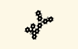 c1ccc(-c2oc3c4ccccc4c4ccc(-c5ccc(N(c6ccc7c(c6)sc6ccccc67)c6ccc7c(c6)sc6ccccc67)cc5)cc4c3c2-c2ccccc2)cc1